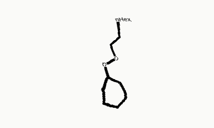 CCCCCCCCOOC1CCCCC1